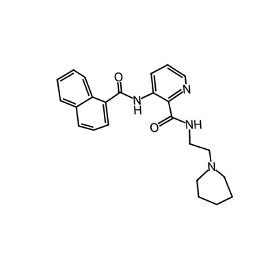 O=C(NCCN1CCCCC1)c1ncccc1NC(=O)c1cccc2ccccc12